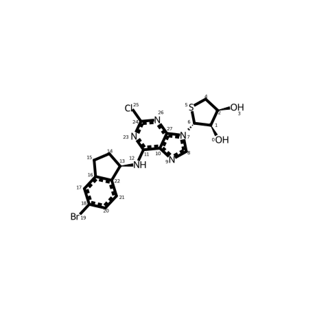 O[C@@H]1[C@H](O)CS[C@H]1n1cnc2c(N[C@@H]3CCc4cc(Br)ccc43)nc(Cl)nc21